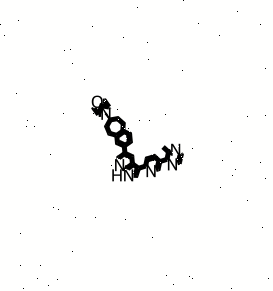 Cc1nccnc1-c1ccc(-c2c[nH]c3ncc(-c4ccc5c(c4)CC[C@@H](N4C6COCC4C6)CC5)cc23)nc1